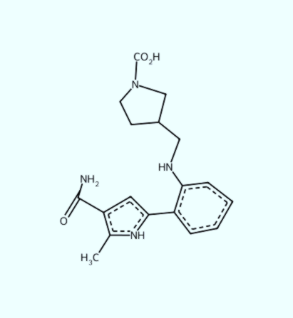 Cc1[nH]c(-c2ccccc2NCC2CCN(C(=O)O)C2)cc1C(N)=O